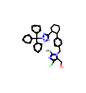 CCCCc1nc(Cl)c(CO)n1Cc1ccc(C2CCCCC2c2nnn(C(c3ccccc3)(c3ccccc3)c3ccccc3)n2)cc1